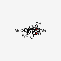 CNC(=O)[C@@H]1C[C@@H](O)C[N+]1(C)C1(c2cccc3c2OCO3)C(=O)N(S(=O)(=O)c2ccc(OC)cc2OC(F)(F)F)c2cc(Cl)ccc21